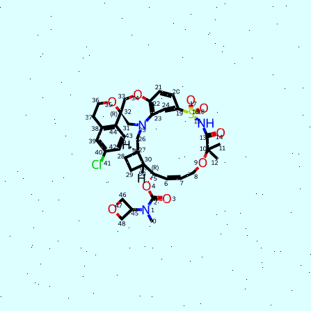 CN(C(=O)O[C@H]1C=CCOC(C)(C)C(=O)NS(=O)(=O)c2ccc3c(c2)N(C[C@@H]2CC[C@H]21)C[C@]1(CO3)OCCc2cc(Cl)ccc21)C1COC1